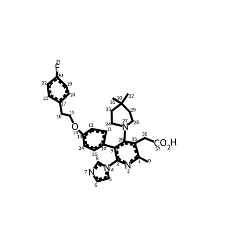 Cc1nc(-n2ccnc2)c(-c2ccc(OCCc3ccc(F)cc3)cc2)c(N2CCC(C)(C)CC2)c1CC(=O)O